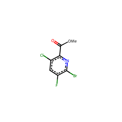 COC(=O)c1nc(Br)c(F)cc1Cl